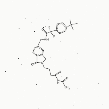 BC(=O)NC(=O)CCCN1Cc2cc(CNC(=O)C(F)(F)c3ccc(C(C)(C)C)cc3)ccc2C1=O